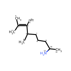 CCCC(=C(C)C)C(C)CCCC(C)N